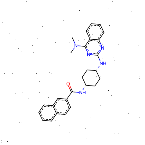 CN(C)c1nc(N[C@H]2CC[C@@H](NC(=O)c3ccc4ccccc4c3)CC2)nc2ccccc12